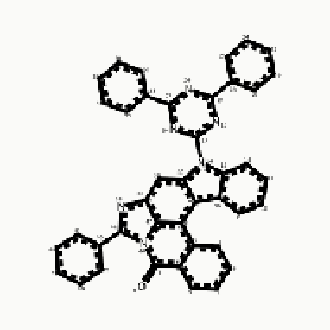 O=c1c2ccccc2c2c3c4ccccc4n(-c4nc(-c5ccccc5)nc(-c5ccccc5)n4)c3cc3nc(-c4ccccc4)n1c32